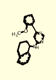 COc1ccccc1-c1cc(NC2CCCc3ccccc32)ncn1